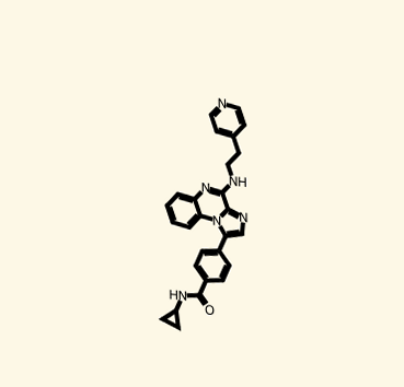 O=C(NC1CC1)c1ccc(-c2cnc3c(NCCc4ccncc4)nc4ccccc4n23)cc1